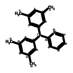 Cc1cc(C)cc(P(c2cc(C)cc(C)c2)c2ccccn2)c1